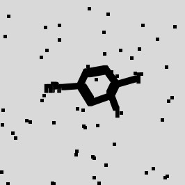 [CH2]CCc1ccc(I)c(I)c1